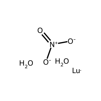 O.O.O=[N+]([O-])[O-].[Lu]